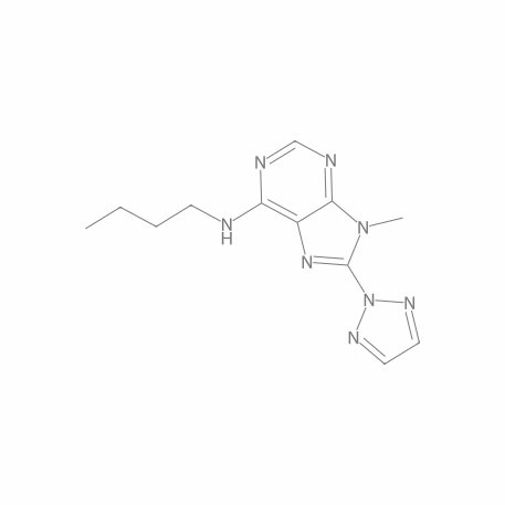 CCCCNc1ncnc2c1nc(-n1nccn1)n2C